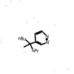 CCCCC(C)(CCC)c1ccnnc1